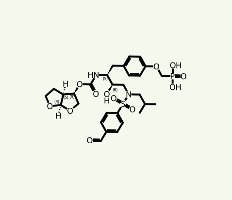 CC(C)CN(C[C@@H](O)[C@H](Cc1ccc(OCP(=O)(O)O)cc1)NC(=O)O[C@H]1CO[C@H]2OCC[C@H]21)S(=O)(=O)c1ccc(C=O)cc1